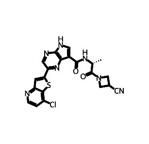 C[C@@H](NC(=O)c1c[nH]c2ncc(-c3cc4nccc(Cl)c4s3)nc12)C(=O)N1CC(C#N)C1